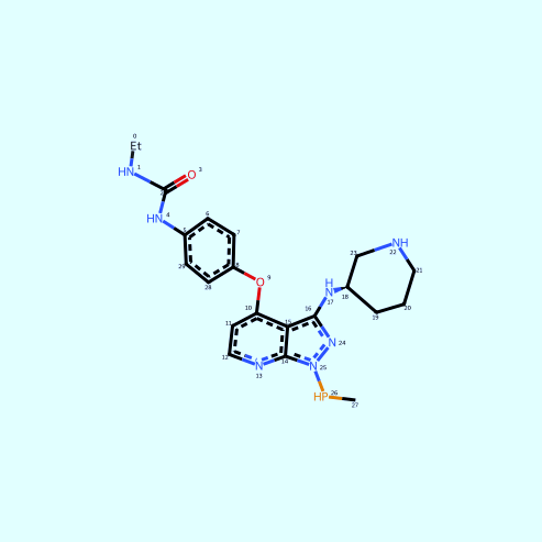 CCNC(=O)Nc1ccc(Oc2ccnc3c2c(N[C@@H]2CCCNC2)nn3PC)cc1